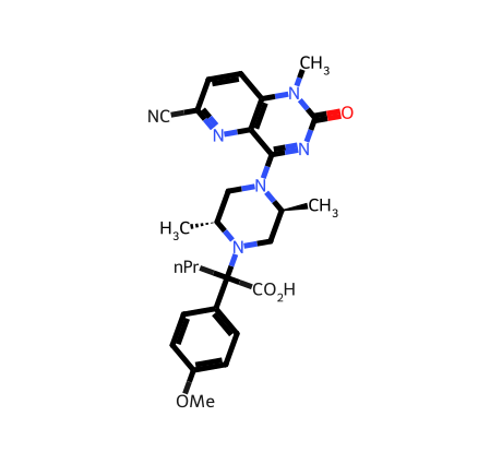 CCCC(C(=O)O)(c1ccc(OC)cc1)N1C[C@H](C)N(c2nc(=O)n(C)c3ccc(C#N)nc23)C[C@H]1C